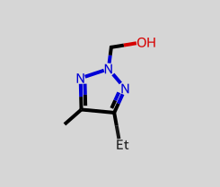 CCc1nn(CO)nc1C